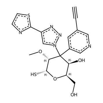 C#Cc1cncc(C2(n3cc(-c4nccs4)nn3)[C@@H](O)[C@@H](CO)O[C@H](S)[C@@H]2OC)c1